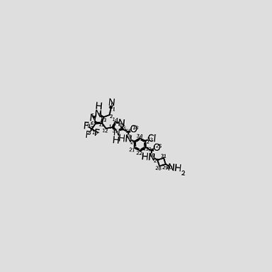 N#CCc1[nH]nc(C(F)(F)F)c1Cc1cnc(C(=O)Nc2ccc(C(=O)NC3CC(N)C3)c(Cl)c2)[nH]1